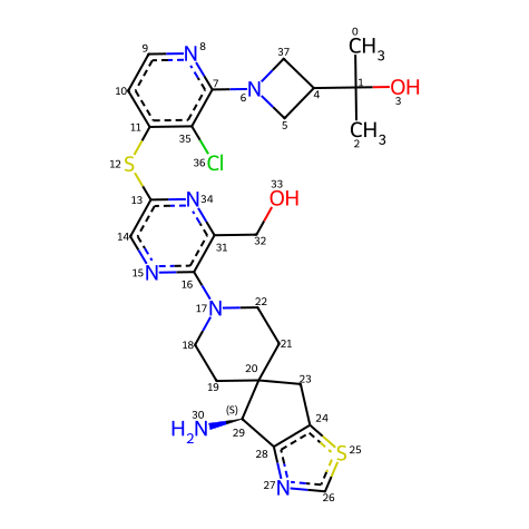 CC(C)(O)C1CN(c2nccc(Sc3cnc(N4CCC5(CC4)Cc4scnc4[C@H]5N)c(CO)n3)c2Cl)C1